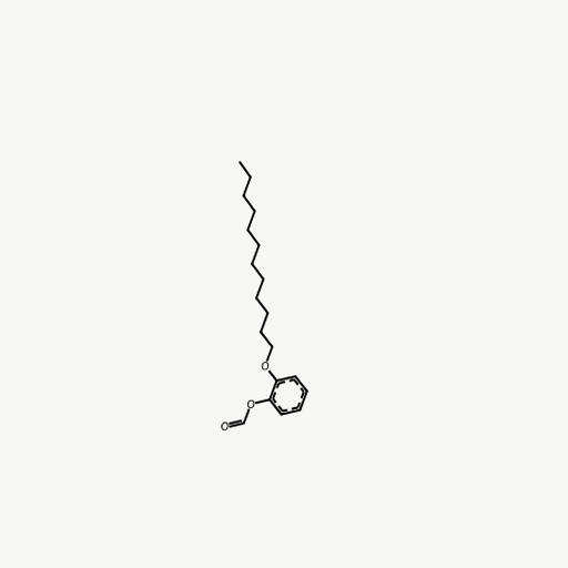 CCCCCCCCCCCCOc1ccccc1OC=O